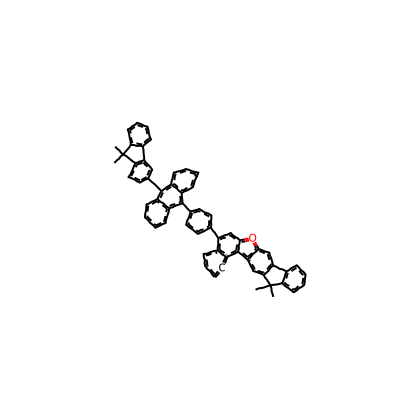 CC1(C)c2ccccc2-c2cc(-c3c4ccccc4c(-c4ccc(-c5cc6oc7cc8c(cc7c6c6ccccc56)C(C)(C)c5ccccc5-8)cc4)c4ccccc34)ccc21